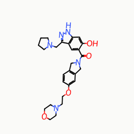 O=C(c1cc2c(CN3CCCC3)n[nH]c2cc1O)N1Cc2ccc(OCCN3CCOCC3)cc2C1